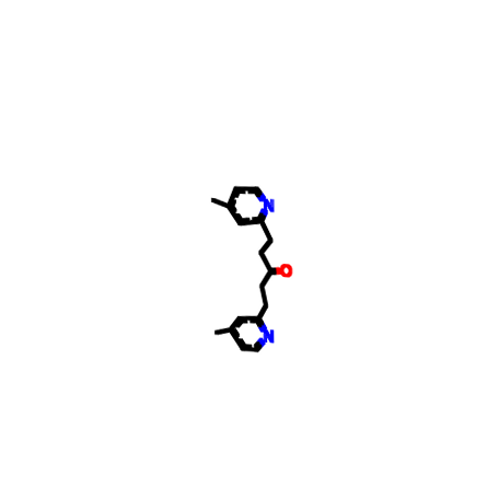 Cc1ccnc(CCC(=O)CCc2cc(C)ccn2)c1